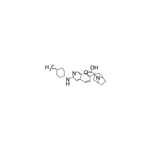 C[C@H]1CC[C@H](Nc2cc3ccc(CN4C5CCC4CC(C(=O)O)C5)cc3cn2)CC1